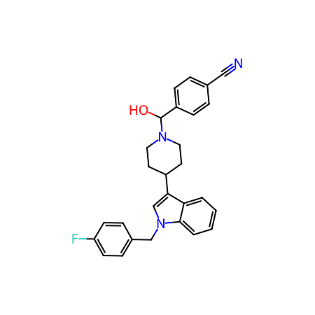 N#Cc1ccc(C(O)N2CCC(c3cn(Cc4ccc(F)cc4)c4ccccc34)CC2)cc1